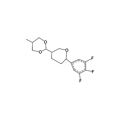 CC1COC(C2CCC(c3cc(F)c(F)c(F)c3)OC2)OC1